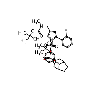 CN(Cc1cc(-c2ccccc2F)n(S(=O)(=O)c2cccc(N3C4CCC3CN(C(=O)OC(C)(C)C)C4)c2)c1)C(=O)OC(C)(C)C